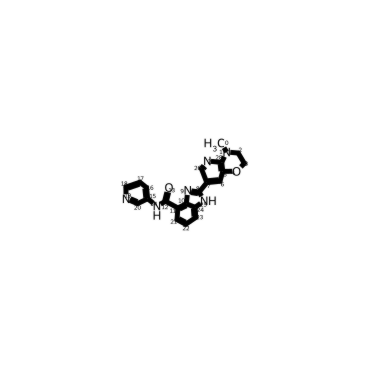 CN1CCOc2cc(-c3nc4c(C(=O)Nc5cccnc5)cccc4[nH]3)cnc21